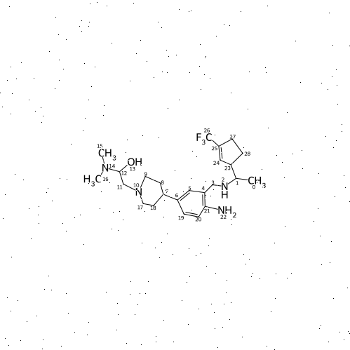 CC(NCc1cc(C2CCN(CC(O)N(C)C)CC2)ccc1N)C1C=C(C(F)(F)F)CC1